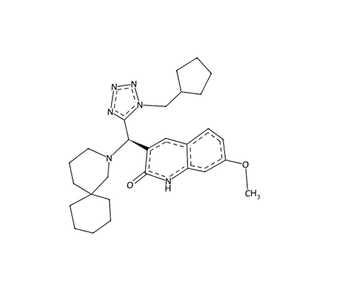 COc1ccc2cc([C@H](c3nnnn3CC3CCCC3)N3CCCC4(CCCCC4)C3)c(=O)[nH]c2c1